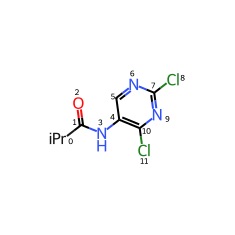 CC(C)C(=O)Nc1cnc(Cl)nc1Cl